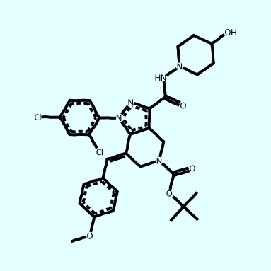 COc1ccc(C=C2CN(C(=O)OC(C)(C)C)Cc3c(C(=O)NN4CCC(O)CC4)nn(-c4ccc(Cl)cc4Cl)c32)cc1